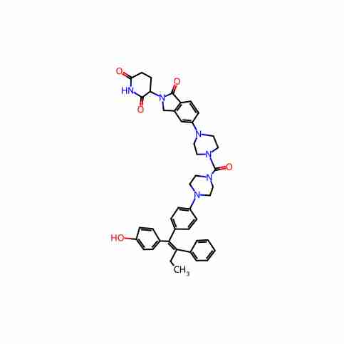 CC/C(=C(\c1ccc(O)cc1)c1ccc(N2CCN(C(=O)N3CCN(c4ccc5c(c4)CN(C4CCC(=O)NC4=O)C5=O)CC3)CC2)cc1)c1ccccc1